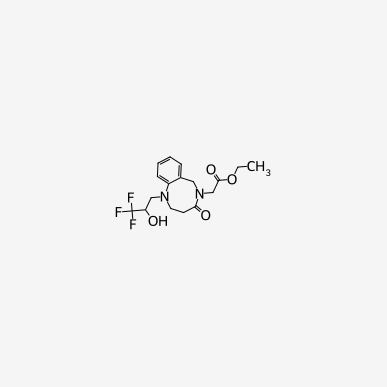 CCOC(=O)CN1Cc2ccccc2N(CC(O)C(F)(F)F)CCC1=O